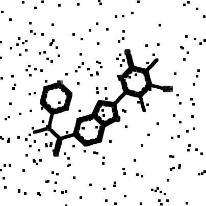 Cc1c(-c2cc3cc(C(=O)N(C)c4ccncc4)ccc3o2)oc(=O)c(C)c1O